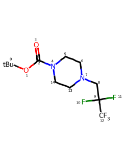 CC(C)(C)OC(=O)N1CCN(CC(F)(F)C(F)(F)F)CC1